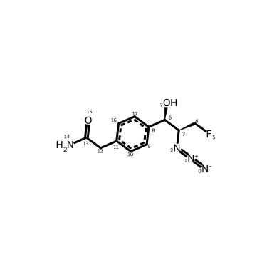 [N-]=[N+]=N[C@H](CF)[C@H](O)c1ccc(CC(N)=O)cc1